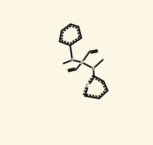 C=CS(C=C)(N(C)c1ccccc1)N(C)c1ccccc1